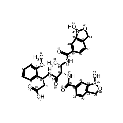 COc1ccccc1[C@H](CC(=O)O)NC(=O)[C@@H](NC(=O)c1ccc2c(c1)B(O)OC2)[C@H](C)NC(=O)c1ccc2c(c1)B(O)OC2